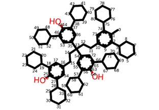 Cc1c(C2CCCCC2)cc(CCC(CCc2cc(C3CCCCC3)c(O)c(C3CCCCC3)c2)(c2cc(C3CCCCC3)c(O)c(C3CCCCC3)c2)c2cc(C3CCCCC3)c(O)c(C3CCCCC3)c2)cc1C1CCCCC1